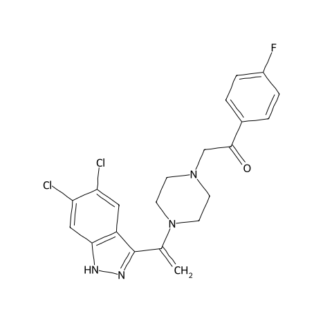 C=C(c1n[nH]c2cc(Cl)c(Cl)cc12)N1CCN(CC(=O)c2ccc(F)cc2)CC1